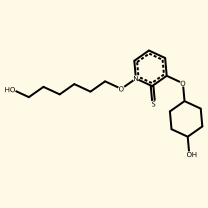 OCCCCCCOn1cccc(OC2CCC(O)CC2)c1=S